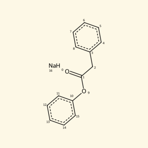 O=C(Cc1ccccc1)Oc1ccccc1.[NaH]